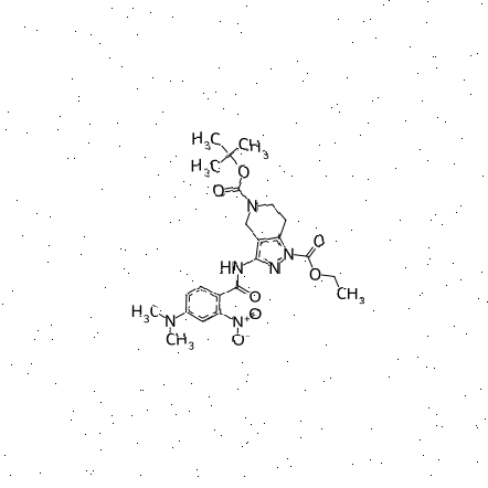 CCOC(=O)n1nc(NC(=O)c2ccc(N(C)C)cc2[N+](=O)[O-])c2c1CCN(C(=O)OC(C)(C)C)C2